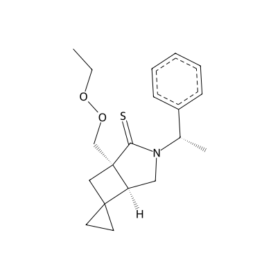 CCOOC[C@@]12CC3(CC3)[C@@H]1CN([C@@H](C)c1ccccc1)C2=S